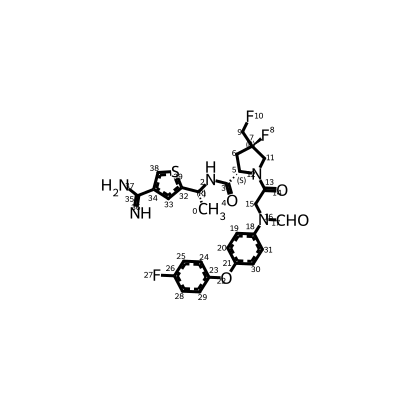 C[C@@H](NC(=O)[C@@H]1C[C@](F)(CF)CN1C(=O)CN(C=O)c1ccc(Oc2ccc(F)cc2)cc1)c1cc(C(=N)N)cs1